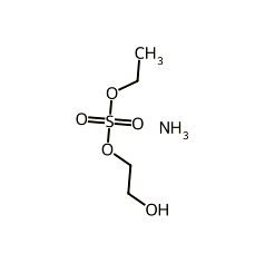 CCOS(=O)(=O)OCCO.N